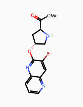 COC(=O)[C@@H]1C[C@@H](Oc2nc3cccnc3cc2Br)CN1